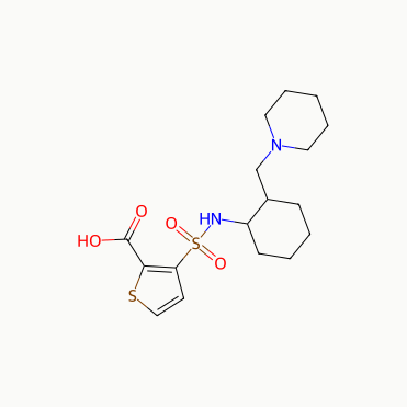 O=C(O)c1sccc1S(=O)(=O)NC1CCCCC1CN1CCCCC1